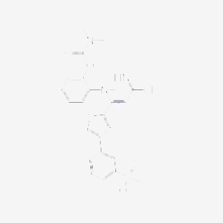 CN(C)C(=O)Oc1ccccc1N/C(=C\C(=N)C(F)(F)F)c1cc(-c2cccc(S(C)(=O)=O)c2)cs1